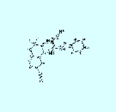 CC1(C)Oc2ccc(C#N)cc2[C@@H](NC(=NC#N)NCc2ccncc2)[C@@H]1O